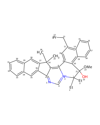 CCC1(CC)[n+]2cnc3c(c2-c2cc(CC(C)C)c4ccccc4c2C1(O)OC)C(C)(C)c1cc2ccccc2cc1-3